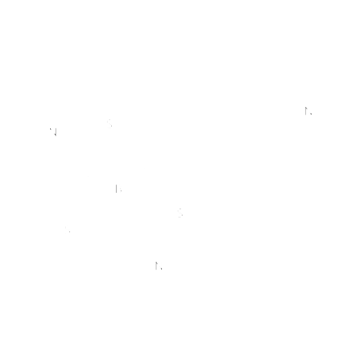 c1cc(-c2cc3c4c(c2)Sc2nccc5c2B4c2c(ccnc2S3)S5)c2cccnc2c1